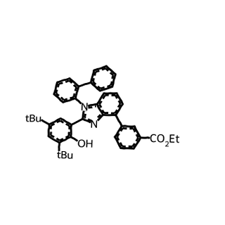 CCOC(=O)c1cccc(-c2cccc3c2nc(-c2cc(C(C)(C)C)cc(C(C)(C)C)c2O)n3-c2ccccc2-c2ccccc2)c1